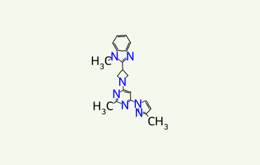 Cc1ccn(-c2cc(N3CC(c4nc5ccccc5n4C)C3)nc(C)n2)n1